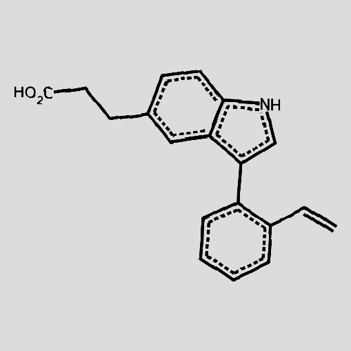 C=Cc1ccccc1-c1c[nH]c2ccc(CCC(=O)O)cc12